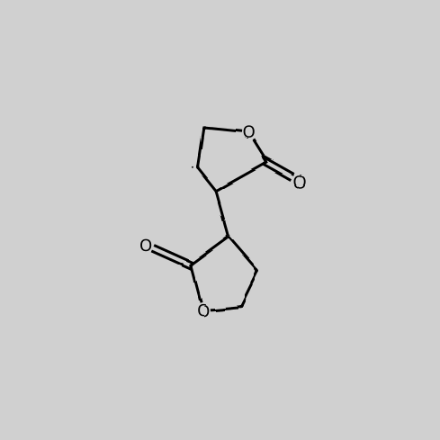 O=C1OC[CH]C1C1CCOC1=O